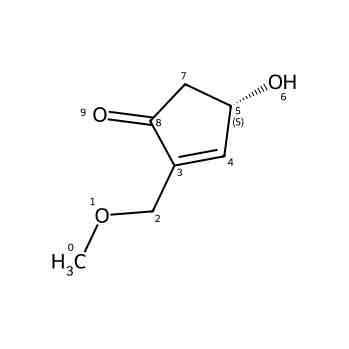 COCC1=C[C@@H](O)CC1=O